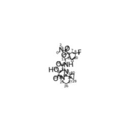 CN(C)S(=O)(=O)c1cc(F)ccc1CNC(=O)c1nc2n(c(=O)c1O)CCCC21CCC1